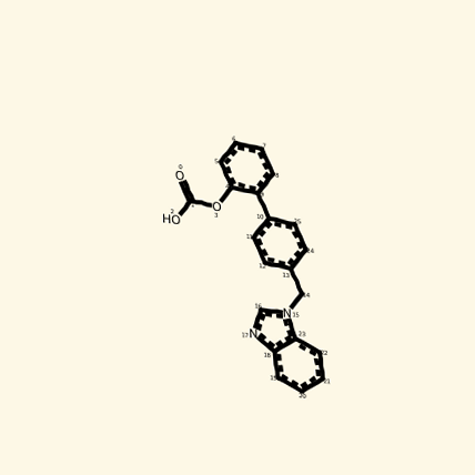 O=C(O)Oc1ccccc1-c1ccc(Cn2cnc3ccccc32)cc1